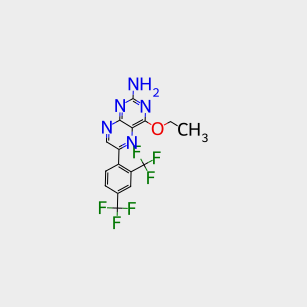 CCOc1nc(N)nc2ncc(-c3ccc(C(F)(F)F)cc3C(F)(F)F)nc12